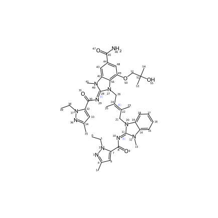 CCn1nc(C)cc1C(=O)/N=c1\n(C)c2ccccc2n1C/C(C)=C(\C)Cn1/c(=N/C(=O)c2cc(C)nn2CC)n(C)c2cc(C(N)=O)cc(OCC(C)(C)O)c21